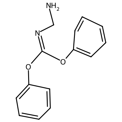 NCN=C(Oc1ccccc1)Oc1ccccc1